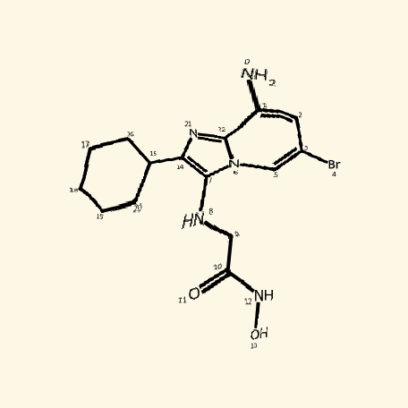 Nc1cc(Br)cn2c(NCC(=O)NO)c(C3CCCCC3)nc12